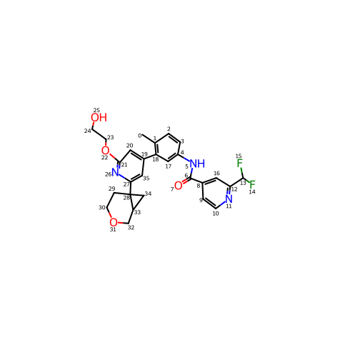 Cc1ccc(NC(=O)c2ccnc(C(F)F)c2)cc1-c1cc(OCCO)nc(C23CCOCC2C3)c1